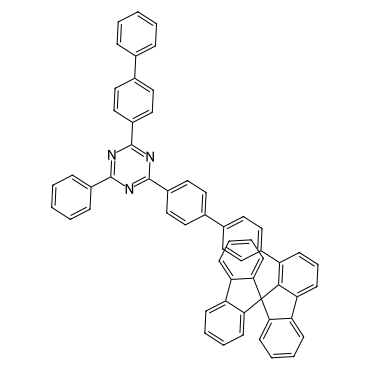 c1ccc(-c2ccc(-c3nc(-c4ccccc4)nc(-c4ccc(-c5ccc(-c6cccc7c6C6(c8ccccc8-c8ccccc86)c6ccccc6-7)cc5)cc4)n3)cc2)cc1